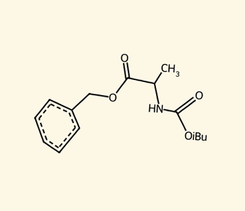 CC(C)COC(=O)NC(C)C(=O)OCc1ccccc1